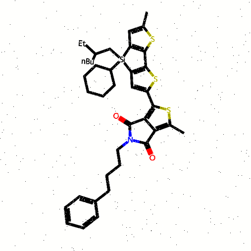 CCCCC(CC)C[Si]1(C2CCCCC2)c2cc(C)sc2-c2sc(-c3sc(C)c4c3C(=O)N(CCCCc3ccccc3)C4=O)cc21